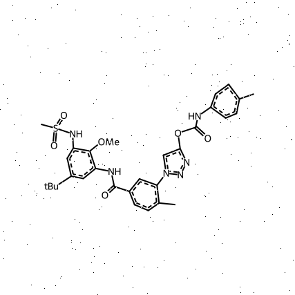 COc1c(NC(=O)c2ccc(C)c(-n3cc(OC(=O)Nc4ccc(C)cc4)nn3)c2)cc(C(C)(C)C)cc1NS(C)(=O)=O